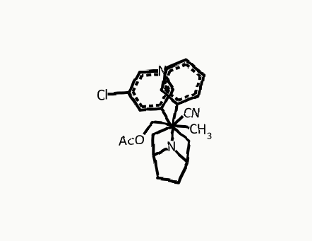 CC(=O)OCC(C)(c1ccccc1)N1C2CCC1CC(C#N)(c1cncc(Cl)c1)C2